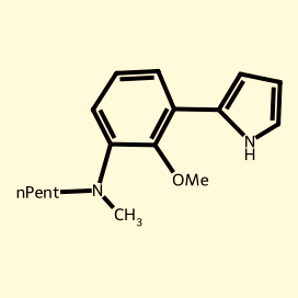 CCCCCN(C)c1cccc(-c2ccc[nH]2)c1OC